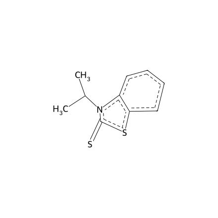 CC(C)n1c(=S)sc2ccccc21